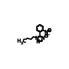 CCCCn1ncnc1-c1ccccc1[N+](=O)[O-]